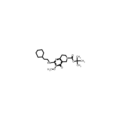 COn1c(NCCC2CCCCC2)nc2c(c1=O)CN(C(=O)OC(C)(C)C)CC2